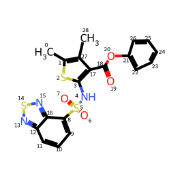 Cc1sc(NS(=O)(=O)c2cccc3nsnc23)c(C(=O)Oc2ccccc2)c1C